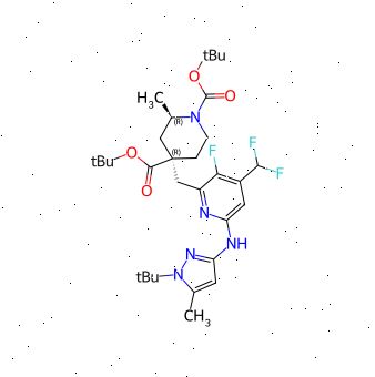 Cc1cc(Nc2cc(C(F)F)c(F)c(C[C@@]3(C(=O)OC(C)(C)C)CCN(C(=O)OC(C)(C)C)[C@H](C)C3)n2)nn1C(C)(C)C